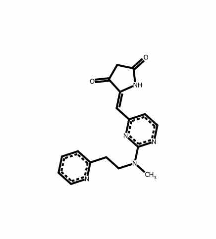 CN(CCc1ccccn1)c1nccc(/C=C2\NC(=O)CC2=O)n1